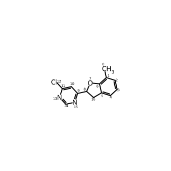 Cc1c[c]cc2c1OC(c1cc(Cl)ncn1)C2